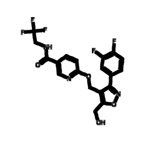 O=C(NCC(F)(F)F)c1ccc(OCc2c(-c3ccc(F)c(F)c3)noc2CO)nc1